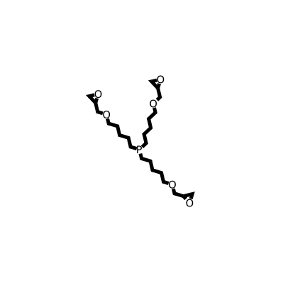 C(CCOCC1CO1)CCP(CCCCCOCC1CO1)CCCCCOCC1CO1